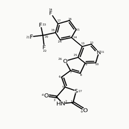 O=C1NC(=O)/C(=C/c2cc3cncc(-c4ccc(F)c(C(F)(F)F)c4)c3o2)S1